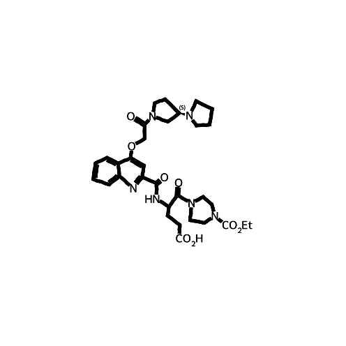 CCOC(=O)N1CCN(C(=O)C(CCC(=O)O)NC(=O)c2cc(OCC(=O)N3CC[C@H](N4CCCC4)C3)c3ccccc3n2)CC1